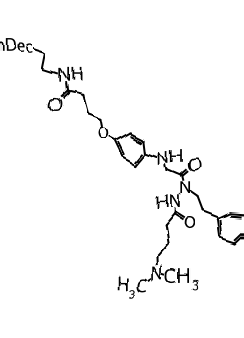 CCCCCCCCCCCCNC(=O)CCCOc1ccc(NCC(=O)N(CCc2ccccc2)NC(=O)CCCN(C)C)cc1